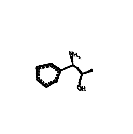 C[C@@H](O)[C@H](N)c1ccccc1